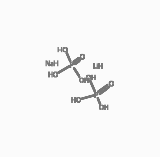 O=P(O)(O)O.O=P(O)(O)O.[LiH].[NaH]